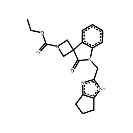 CCOC(=O)N1CC2(C1)C(=O)N(Cc1nc3c([nH]1)CCC3)c1ccccc12